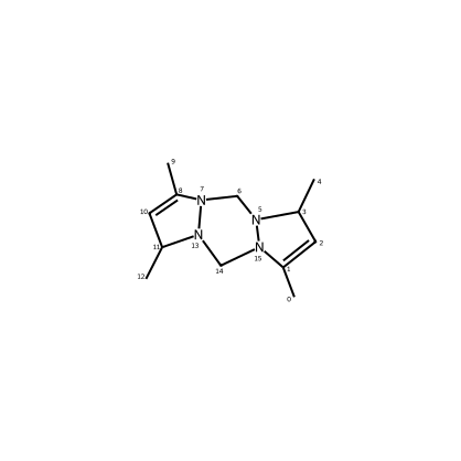 CC1=CC(C)N2CN3C(C)=CC(C)N3CN12